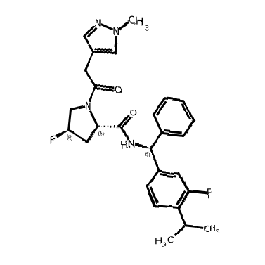 CC(C)c1ccc([C@@H](NC(=O)[C@@H]2C[C@@H](F)CN2C(=O)Cc2cnn(C)c2)c2ccccc2)cc1F